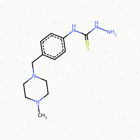 CN1CCN(Cc2ccc(NC(=S)NN)cc2)CC1